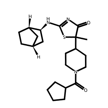 CC1(C2CCN(C(=O)C3CCCC3)CC2)SC(N[C@H]2C[C@@H]3CC[C@H]2C3)=NC1=O